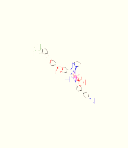 N#Cc1ccc(-c2ccc(CC(NC(=O)C3Cc4cc5c(cc4CN3Cc3ccccn3)OC(c3ccc(OCc4ccc(Cl)c(Cl)c4)cc3)CO5)C(=O)O)cc2)cc1